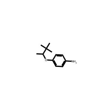 CC(Oc1ccc(N)cc1)C(C)(C)C